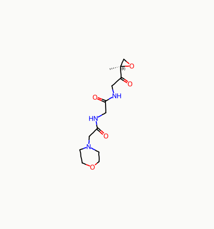 C[C@]1(C(=O)CNC(=O)CNC(=O)CN2CCOCC2)CO1